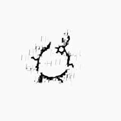 CC(C)N1CCN(CC2OC3OC(CCO)/C(O)=C(/O)C(O)OC(CCO)/C(O)=C(\O)C(O)OC(CCO)/C(O)=C(/O)C(O)OC(CCO)/C(O)=C(/O)C(O)OC(CCO)/C(O)=C(\O)C(O)OC2C(O)C3O)CC1